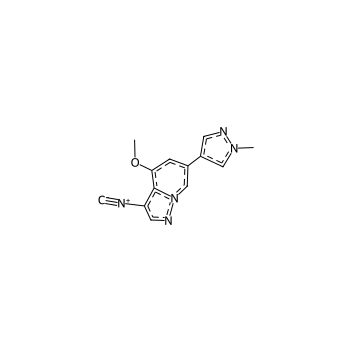 [C-]#[N+]c1cnn2cc(-c3cnn(C)c3)cc(OC)c12